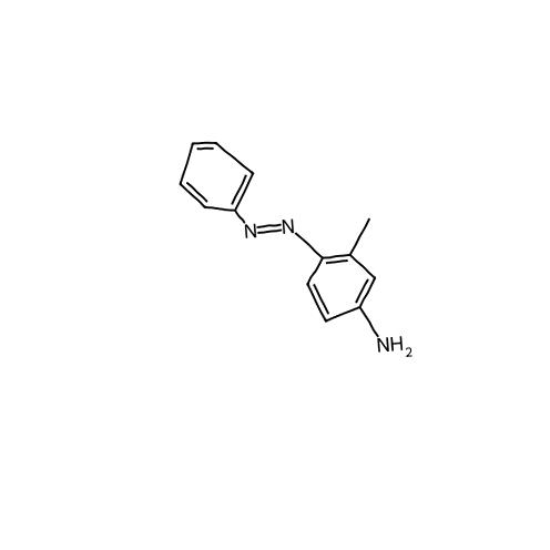 Cc1cc(N)ccc1N=Nc1ccccc1